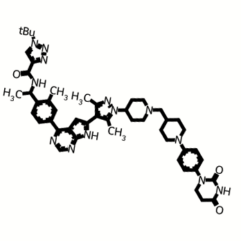 Cc1cc(-c2ncnc3[nH]c(-c4c(C)nn(C5CCN(CC6CCN(c7ccc(N8CCC(=O)NC8=O)cc7)CC6)CC5)c4C)cc23)ccc1C(C)NC(=O)c1cn(C(C)(C)C)nn1